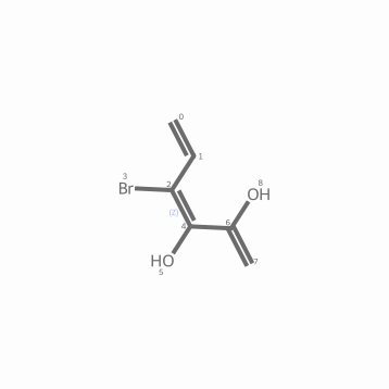 C=C/C(Br)=C(/O)C(=C)O